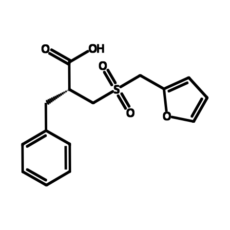 O=C(O)[C@@H](Cc1ccccc1)CS(=O)(=O)Cc1ccco1